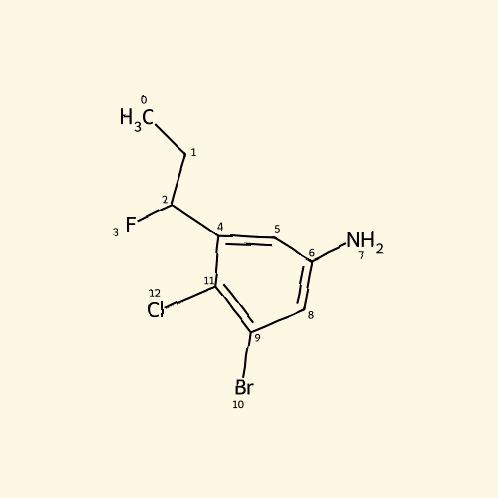 CCC(F)c1cc(N)cc(Br)c1Cl